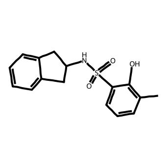 Cc1cccc(S(=O)(=O)NC2Cc3ccccc3C2)c1O